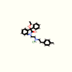 CCOC(C(=O)N(C)CCN(Cl)CCc1ccc(C)cc1)(c1ccccc1)c1ccccc1